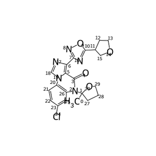 CC1(n2c(=O)c3c(-c4noc(C5CCOC5)n4)ncn3c3ccc(Cl)cc32)CCCO1